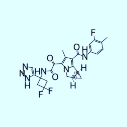 Cc1ccc(NC(=O)c2c(C)c(C(=O)C(=O)NC3(c4cnn[nH]4)CC(F)(F)C3)n3c2[C@H]2C[C@H]2C3)cc1F